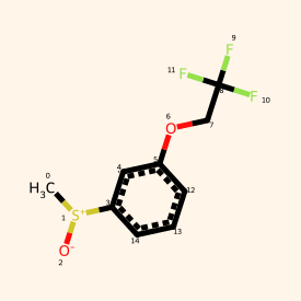 C[S+]([O-])c1[c]c(OCC(F)(F)F)ccc1